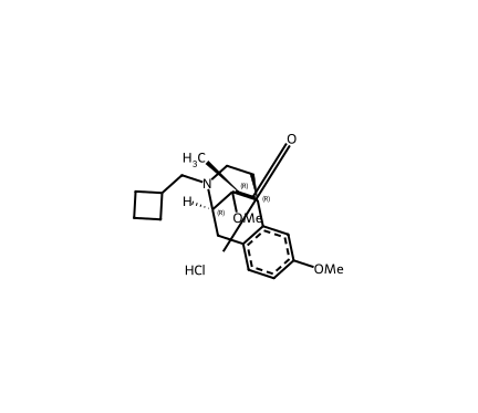 COc1ccc2c(c1)[C@]13CCN(CC4CCC4)[C@H](C2)C1(OC)[C@H](C)CC(=O)C3.Cl